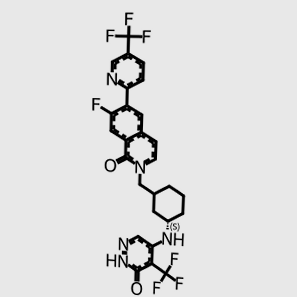 O=c1[nH]ncc(N[C@H]2CCCC(Cn3ccc4cc(-c5ccc(C(F)(F)F)cn5)c(F)cc4c3=O)C2)c1C(F)(F)F